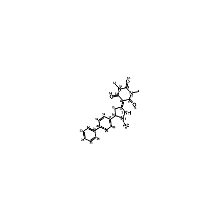 CC(=O)N1NC(=C2C(=O)N(C)C(=O)N(C)C2=O)CC1c1ccc(-c2ccccc2)cc1